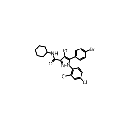 CCc1c(C(=O)NC2CCCCC2)nn(-c2ccc(Cl)cc2Cl)c1-c1ccc(Br)cc1